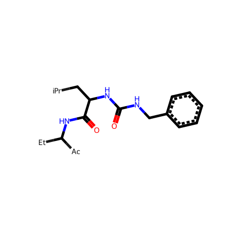 CCC(NC(=O)C(CC(C)C)NC(=O)NCc1ccccc1)C(C)=O